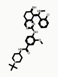 CN/C(=C1\C(=N)CCc2cnc(Nc3ccc(C(=O)NC4CCN(C(C)(C)C)CC4)cc3OC)nc21)c1ccccc1Cl